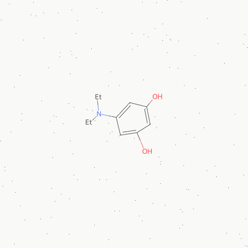 CCN(CC)c1cc(O)cc(O)c1